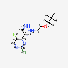 CC(C)(C)[Si](C)(C)OCCN/C=C(\C=N)c1nc(Cl)ncc1F